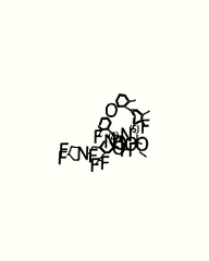 CCOC(=O)C[C@@H]1NC(=O)[C@@H](n2cc(CCN3CCC(F)(F)CC3)c(C(F)(F)F)cc2=O)c2cc(ccc2F)Oc2cccc(C)c2-c2cc(C)c(F)c1c2